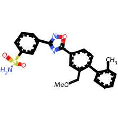 COCc1cc(-c2nc(-c3cccc(S(N)(=O)=O)c3)no2)ccc1-c1ccccc1C